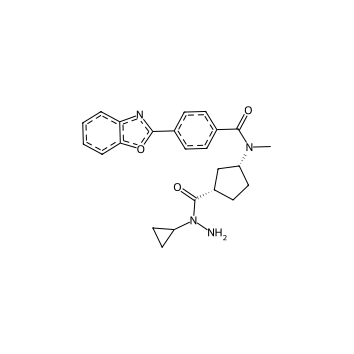 CN(C(=O)c1ccc(-c2nc3ccccc3o2)cc1)[C@@H]1CC[C@H](C(=O)N(N)C2CC2)C1